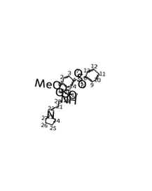 COc1ccc(S(=O)(=O)c2ccccc2)cc1S(=O)(=O)NCCCN1CCCC1